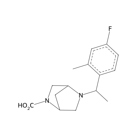 Cc1cc(F)ccc1C(C)N1CC2CC1CN2C(=O)O